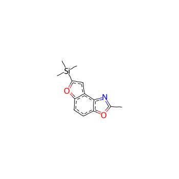 Cc1nc2c(ccc3oc([Si](C)(C)C)cc32)o1